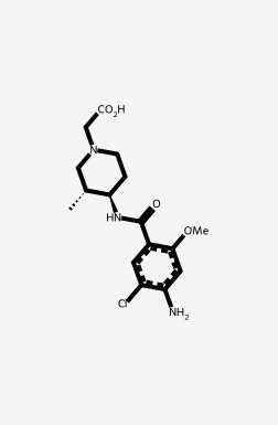 COc1cc(N)c(Cl)cc1C(=O)N[C@@H]1CCN(CC(=O)O)C[C@H]1C